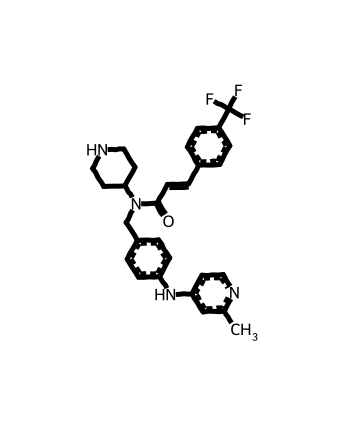 Cc1cc(Nc2ccc(CN(C(=O)/C=C/c3ccc(C(F)(F)F)cc3)C3CCNCC3)cc2)ccn1